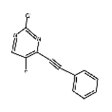 Fc1cnc(Cl)nc1C#Cc1ccccc1